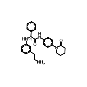 NCCc1cccc(N[C@H](C(=O)Nc2ccc(N3CCCCC3=O)cc2)c2ccccc2)c1